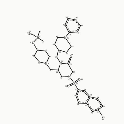 CC(C)(C)[Si](C)(C)OC1CCN(CC2CN(S(=O)(=O)c3ccc4cc(Cl)ccc4c3)CC(=O)N2CC2CCN(c3ccncc3)CC2)CC1